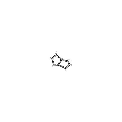 c1cc2ccsc2s1